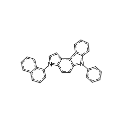 c1ccc(-n2c3ccccc3c3c4ccn(-c5cccc6ccccc56)c4ccc32)cc1